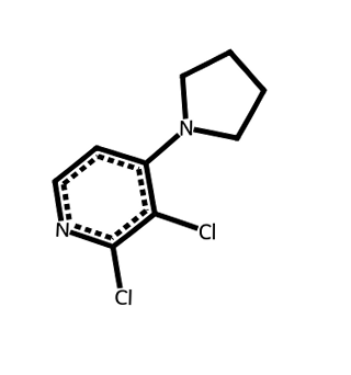 Clc1nccc(N2CCCC2)c1Cl